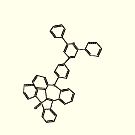 O=P1(c2ccccc2)C2=C(c3ccccc3N(c3ccc(-c4cc(-c5ccccc5)nc(-c5ccccc5)c4)cc3)c3ccccc32)c2ccccc21